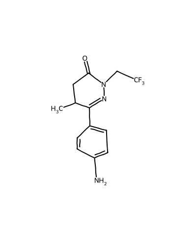 CC1CC(=O)N(CC(F)(F)F)N=C1c1ccc(N)cc1